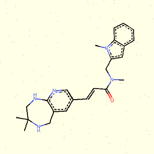 CN(Cc1cc2ccccc2n1C)C(=O)/C=C/c1cnc2c(c1)CNC(C)(C)CN2